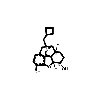 Oc1ccc2c3c1O[C@H]1[C@@H](O)CC[C@@]4(O)C(C2)N(CC2CCC2)CCC314